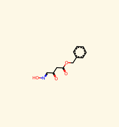 O=C(C=NO)CC(=O)OCc1ccccc1